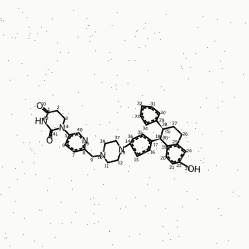 O=C1CCN(c2ccc(CN3CCN(c4ccc([C@@H]5c6ccc(O)cc6CC[C@@H]5c5ccccc5)cc4)CC3)nc2)C(=O)N1